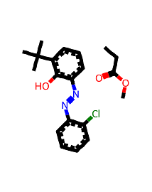 CC(C)(C)c1cccc(N=Nc2ccccc2Cl)c1O.CCC(=O)OC